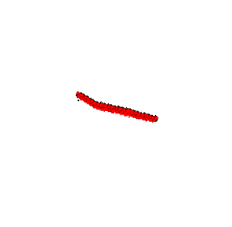 [c]1cccc2cc3cc4cc5cc6cc7cc8cc9cc%10cc%11cc%12cc%13cc%14cc%15cc%16cc%17cc%18cc%19cc%20cc%21cc%22ccccc%22cc%21cc%20cc%19cc%18cc%17cc%16cc%15cc%14cc%13cc%12cc%11cc%10cc9cc8cc7cc6cc5cc4cc3cc12